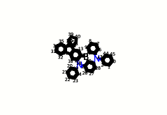 c1ccc(N2c3ccccc3B3c4cc5c(cc4N(c4ccccc4)c4cccc2c43)-c2ccccc2C52C3CCC2CC3)cc1